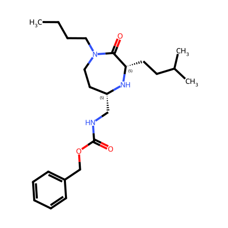 CCCCN1CC[C@@H](CNC(=O)OCc2ccccc2)N[C@@H](CCC(C)C)C1=O